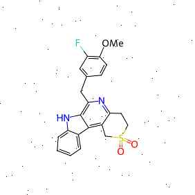 COc1ccc(Cc2nc3c(c4c2[nH]c2ccccc24)CS(=O)(=O)CC3)cc1F